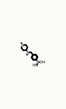 CN1CCC(N(C)Cc2ccc(B(O)O)cc2)CC1